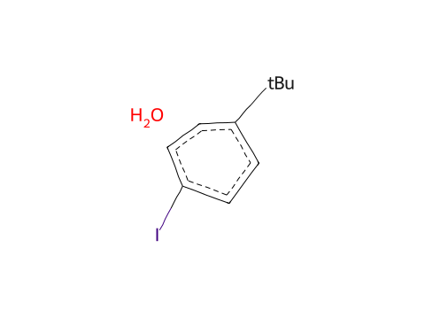 CC(C)(C)c1ccc(I)cc1.O